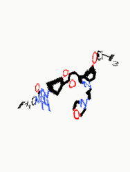 CNC(=O)Nc1ccc2c(c1)C(=O)C(=Cc1cn(CCCN3CCOCC3)c3ccc(OC)cc13)O2